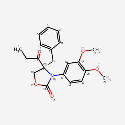 CCC(=O)[C@]1(Cc2ccccc2)COC(=O)N1c1ccc(OC)c(OC)c1